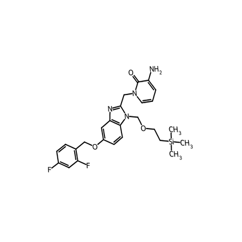 C[Si](C)(C)CCOCn1c(Cn2cccc(N)c2=O)nc2cc(OCc3ccc(F)cc3F)ccc21